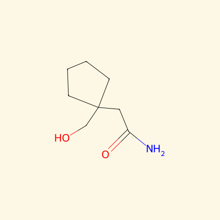 NC(=O)CC1(CO)CCCC1